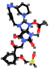 CC#CCN1c2c(n(C)c(=O)n(CC(=O)c3ccccc3OC[S+](C)[O-])c2=O)N(OC(=O)C(F)(F)F)C1N1CCCC(N)C1